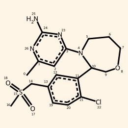 Cc1cc(N2CCCOCC2c2cc(CS(C)(=O)=O)ccc2Cl)nc(N)n1